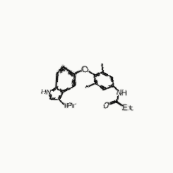 CCC(=O)Nc1cc(C)c(Oc2ccc3[nH]cc(C(C)C)c3c2)c(C)c1